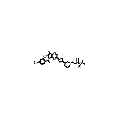 Cc1nn(C(C)c2ccc(Cl)cc2Cl)c2nc(N3CC(C4CCCN(CCN[S+]([O-])C(C)C)C4)C3)cnc12